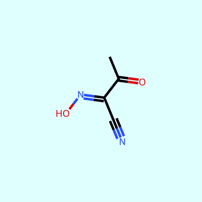 CC(=O)C(C#N)=NO